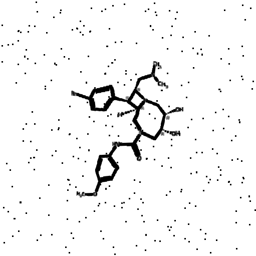 COc1ccc(NC(=O)N2C[C@@H](O)[C@@H](O)CN3[C@H](CN(C)C)[C@H](c4ccc(Br)cc4)[C@@H]3C2)cc1